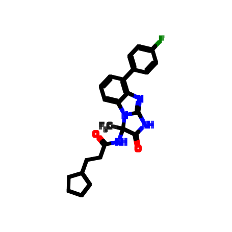 O=C(CCC1CCCC1)NC1(C(F)(F)F)C(=O)Nc2nc3c(-c4ccc(F)cc4)cccc3n21